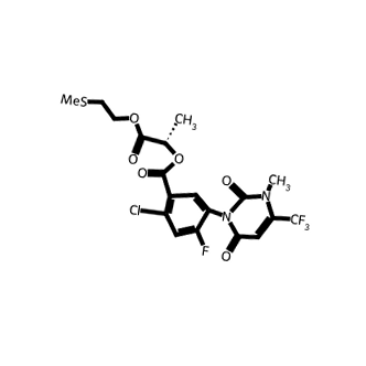 CSCCOC(=O)[C@H](C)OC(=O)c1cc(-n2c(=O)cc(C(F)(F)F)n(C)c2=O)c(F)cc1Cl